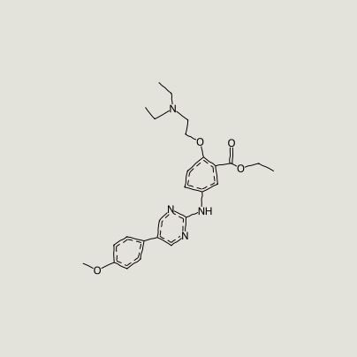 CCOC(=O)c1cc(Nc2ncc(-c3ccc(OC)cc3)cn2)ccc1OCCN(CC)CC